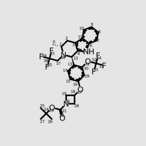 C[C@@H]1Cc2c([nH]c3ccccc23)[C@@H](c2ccc(OC3CN(C(=O)OC(C)(C)C)C3)cc2OC(F)(F)F)N1CC(F)(F)F